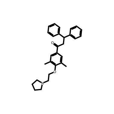 Cc1cc(C(=O)CC(c2ccccc2)c2ccccc2)cc(C)c1OCCN1CCCC1